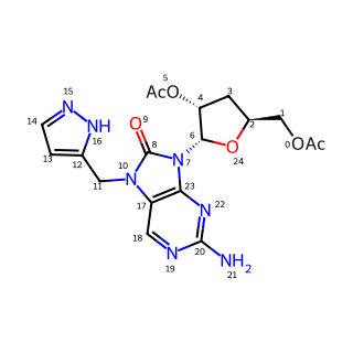 CC(=O)OC[C@@H]1C[C@@H](OC(C)=O)[C@@H](n2c(=O)n(Cc3ccn[nH]3)c3cnc(N)nc32)O1